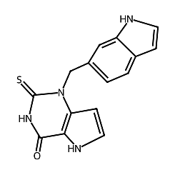 O=c1[nH]c(=S)n(Cc2ccc3cc[nH]c3c2)c2cc[nH]c12